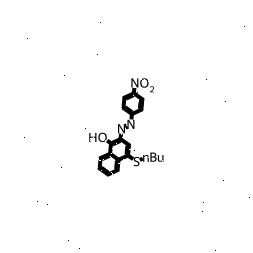 CCCCSc1cc(N=Nc2ccc([N+](=O)[O-])cc2)c(O)c2ccccc12